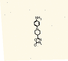 Cn1nc(C2CCN(c3ccc(N)cc3)CC2)oc1=O